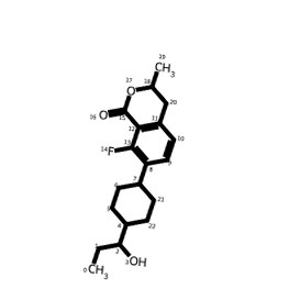 CCC(O)C1CCC(c2ccc3c(c2F)C(=O)OC(C)C3)CC1